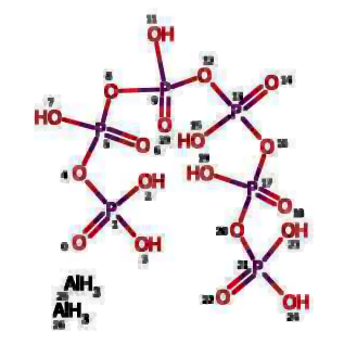 O=P(O)(O)OP(=O)(O)OP(=O)(O)OP(=O)(O)OP(=O)(O)OP(=O)(O)O.[AlH3].[AlH3]